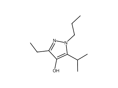 CCCn1nc(CC)c(O)c1C(C)C